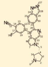 CN1CC[C@@H](Cn2ccc3c(-c4ccc(C#N)c(F)c4)c(-c4ccc5nn(C)cc5c4)ncc32)C1